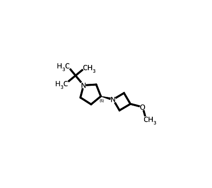 COC1CN([C@H]2CCN(C(C)(C)C)C2)C1